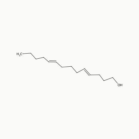 CCCCC=CCCCC=CCCCO